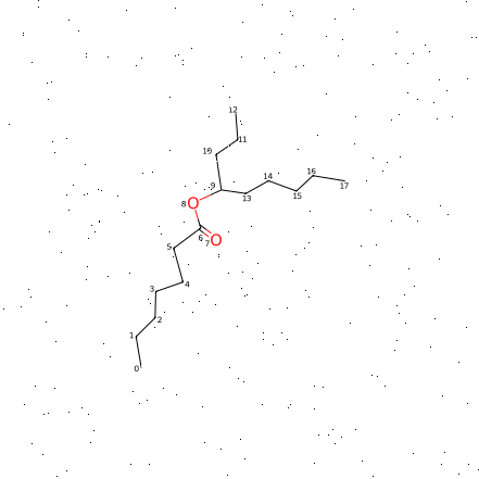 CCCCCCC(=O)OC(CCC)CCCCC